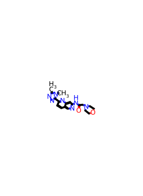 Cc1nnc(-c2ccc3cnc(NC(=O)CN4CCOCC4)cc3n2)n1C